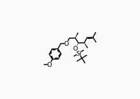 COc1ccc(COC[C@@H](C)[C@@H](O[Si](C)(C)C(C)(C)C)[C@H](C)C=C(C)C)cc1